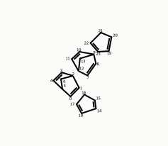 C1=CC2C=CC1C2.C1=CC2C=CC1C2.C1=CCC=C1.C1=CCC=C1